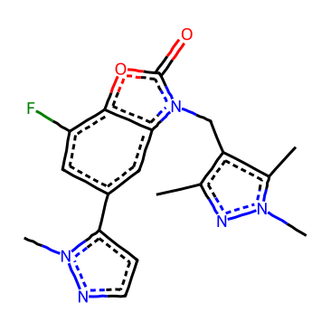 Cc1nn(C)c(C)c1Cn1c(=O)oc2c(F)cc(-c3ccnn3C)cc21